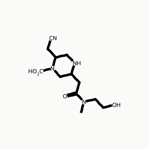 CN(CCO)C(=O)CC1CN(C(=O)O)C(CC#N)CN1